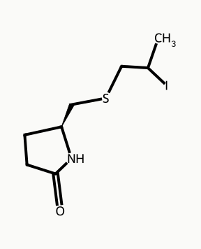 CC(I)CSC[C@@H]1CCC(=O)N1